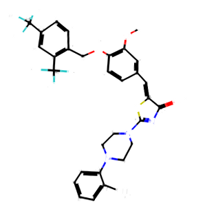 COc1cc(/C=C2\SC(N3CCN(c4ccccc4C)CC3)=NC2=O)ccc1OCc1ccc(C(F)(F)F)cc1C(F)(F)F